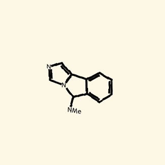 CNC1c2ccccc2-c2cncn21